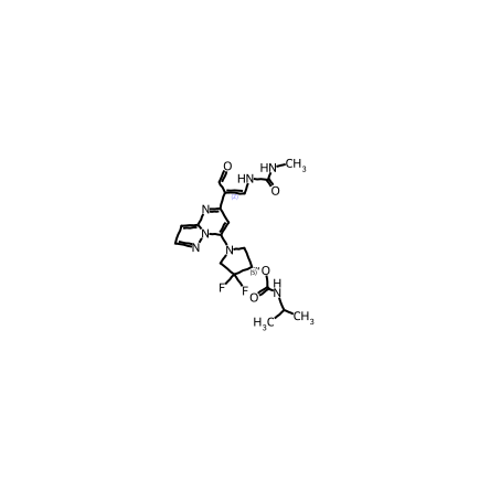 CNC(=O)N/C=C(\C=O)c1cc(N2C[C@H](OC(=O)NC(C)C)C(F)(F)C2)n2nccc2n1